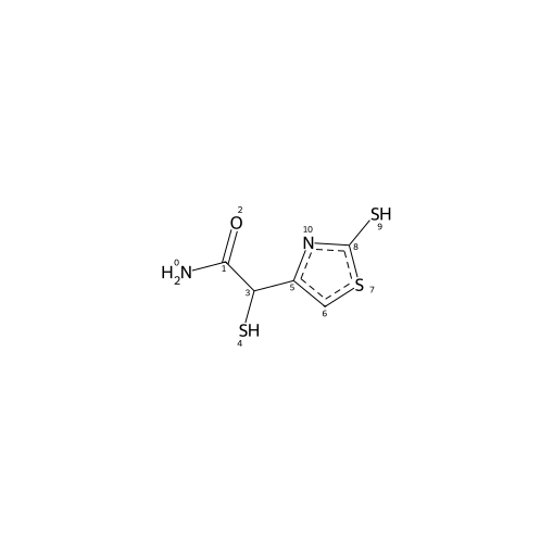 NC(=O)C(S)c1csc(S)n1